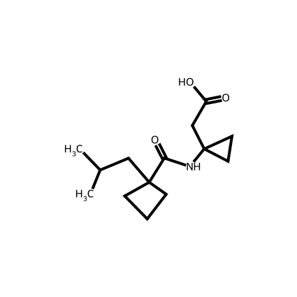 CC(C)CC1(C(=O)NC2(CC(=O)O)CC2)CCC1